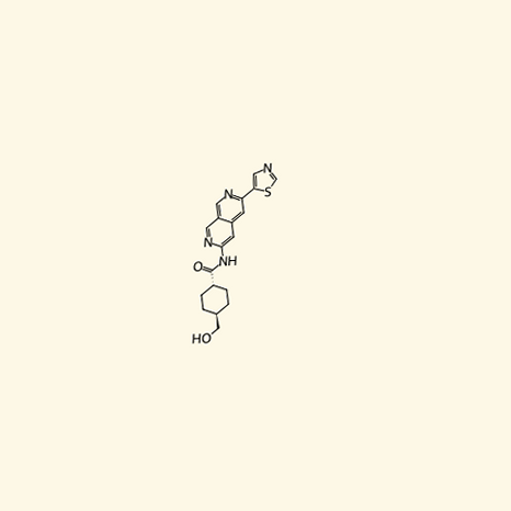 O=C(Nc1cc2cc(-c3cncs3)ncc2cn1)[C@H]1CC[C@H](CO)CC1